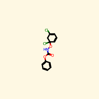 O=C(NOC1(Cl)C=CC=C(Cl)C1)Oc1ccccc1